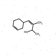 CC(=CC1CC=CCC1)C(C)O